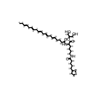 CCC=CCC=CCC=CCC=CCC=CCCCC(=O)NC(CCCCNC(=O)CCCCC1CCSS1)C(=O)OC(CO)CO